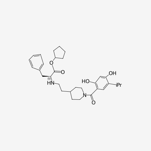 CC(C)c1cc(C(=O)N2CCC(CCN[C@@H](Cc3ccccc3)C(=O)OC3CCCC3)CC2)c(O)cc1O